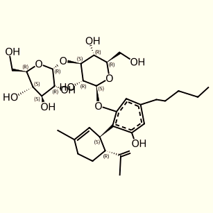 C=C(C)[C@@H]1CCC(C)=C[C@H]1c1c(O)cc(CCCCC)cc1O[C@@H]1O[C@H](CO)[C@@H](O)[C@H](O[C@H]2O[C@H](CO)[C@@H](O)[C@H](O)[C@H]2O)[C@H]1O